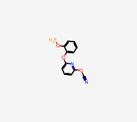 N#COc1cccc(Oc2ccccc2OP)n1